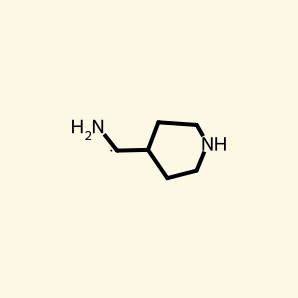 N[CH]C1CCNCC1